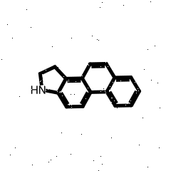 c1ccc2c(c1)ccc1c3c(ccc12)NCC3